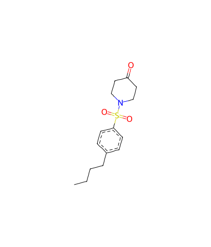 CCCCc1ccc(S(=O)(=O)N2CCC(=O)CC2)cc1